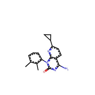 Cc1cccc(-n2c(=O)nc(N)c3ccc(C4CC4)nc32)c1C